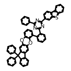 c1ccc(-c2nc(-c3ccc4c(c3)sc3ccccc34)nc(-c3ccccc3-c3cccc4c3Oc3cc5c(cc3O4)C(c3ccccc3)(c3ccccc3)c3ccccc3-5)n2)cc1